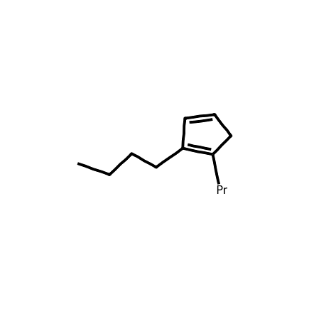 CCCCC1=[C]([Pr])CC=C1